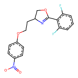 O=[N+]([O-])c1ccc(OCCC2COC(c3c(F)cccc3F)=N2)cc1